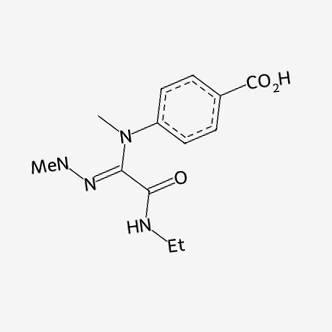 CCNC(=O)/C(=N/NC)N(C)c1ccc(C(=O)O)cc1